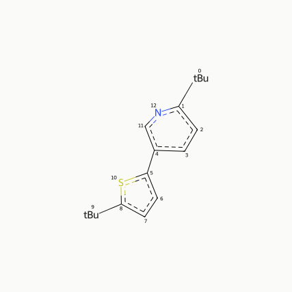 CC(C)(C)c1ccc(-c2ccc(C(C)(C)C)s2)cn1